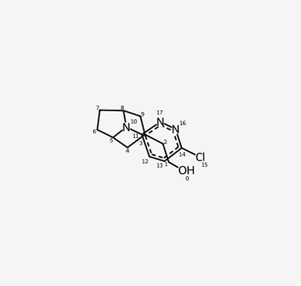 OCCC1CC2CCC(C1)N2c1ccc(Cl)nn1